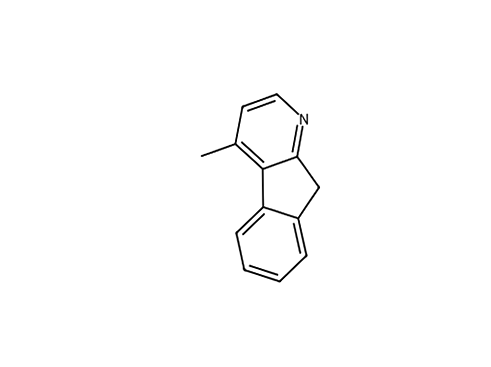 Cc1ccnc2c1-c1ccccc1C2